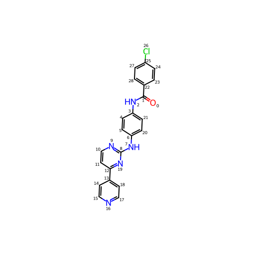 O=C(Nc1ccc(Nc2nccc(-c3ccncc3)n2)cc1)c1ccc(Cl)cc1